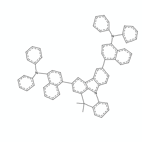 CC1(C)c2ccccc2-n2c3ccc(-c4ccc(N(c5ccccc5)c5ccccc5)c5ccccc45)cc3c3cc(-c4ccc(N(c5ccccc5)c5ccccc5)c5ccccc45)cc1c32